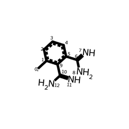 [CH2]c1cccc(C(=N)N)c1C(=N)N